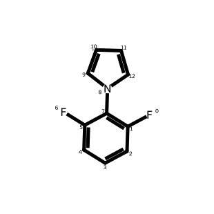 Fc1cccc(F)c1-n1c[c]cc1